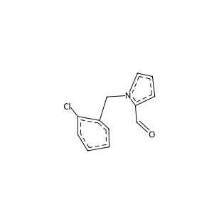 O=Cc1cccn1Cc1ccccc1Cl